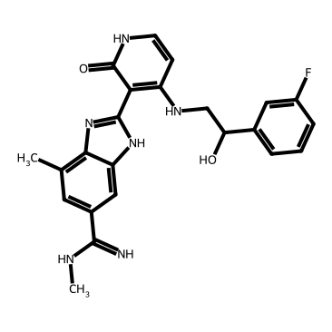 CNC(=N)c1cc(C)c2nc(-c3c(NCC(O)c4cccc(F)c4)cc[nH]c3=O)[nH]c2c1